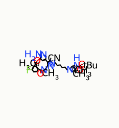 C[C@H]1Oc2cc(cnc2N)-c2c(nn(CCCCCCN3C[C@H](NC(=O)OC(C)(C)C)C(C)(C)C3)c2C#N)CN(C)C(=O)c2ccc(F)cc21